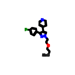 COCCOCCn1cc(-c2ccncc2)c(-c2ccc(F)cc2)n1